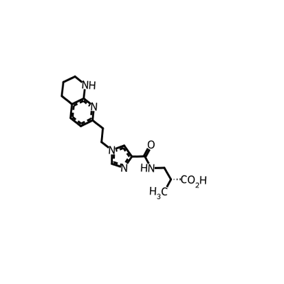 C[C@H](CNC(=O)c1cn(CCc2ccc3c(n2)NCCC3)cn1)C(=O)O